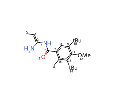 CC=C(N)NC(=O)c1cc(C(C)(C)C)c(OC)c(C(C)(C)C)c1C